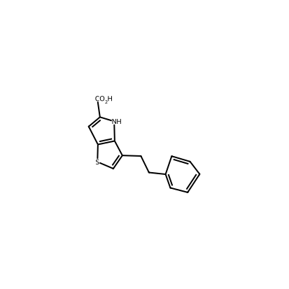 O=C(O)c1cc2scc(CCc3ccccc3)c2[nH]1